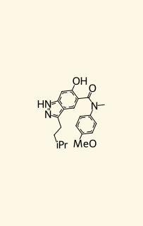 COc1ccc(N(C)C(=O)c2cc3c(CCC(C)C)n[nH]c3cc2O)cc1